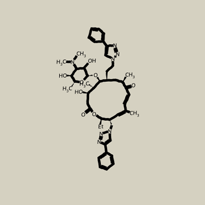 CC[C@H]1OC(=O)C[C@@H](O)[C@H](C)[C@@H](O[C@@H]2O[C@H](C)[C@@H](O)C(N(C)C)C2O)[C@@H](CCn2cc(-c3ccccc3)nn2)C[C@@H](C)C(=O)/C=C/C(C)=C/[C@@H]1Cn1cc(-c2ccccc2)nn1